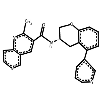 Cc1nc2ccncc2cc1C(=O)N[C@@H]1COc2cccc(-c3cccnc3)c2C1